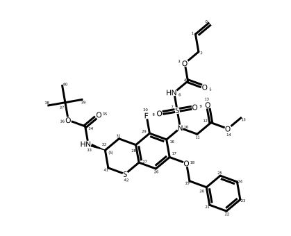 C=CCOC(=O)NS(=O)(=O)N(CC(=O)OC)c1c(OCc2ccccc2)cc2c(c1F)C[C@H](NC(=O)OC(C)(C)C)CS2